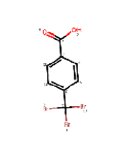 O=C(O)c1ccc(C(Br)(Br)Br)cc1